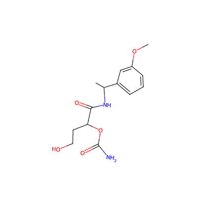 COc1cccc(C(C)NC(=O)C(CCO)OC(N)=O)c1